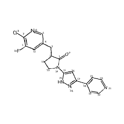 O=C1C(Cc2cnc(Cl)c(F)c2)CCN1c1cc(-c2ccncc2)n[nH]1